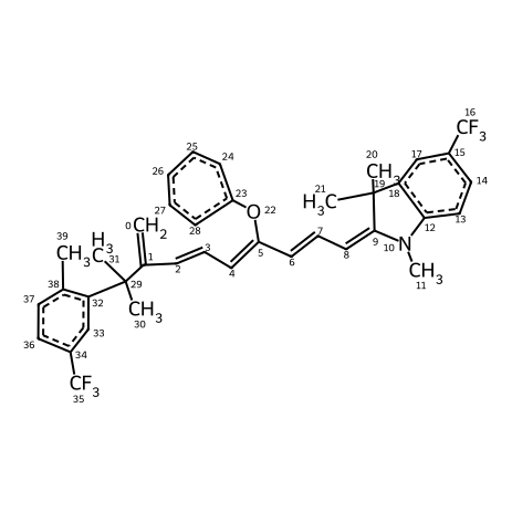 C=C(/C=C/C=C(/C=C/C=C1/N(C)c2ccc(C(F)(F)F)cc2C1(C)C)Oc1ccccc1)C(C)(C)c1cc(C(F)(F)F)ccc1C